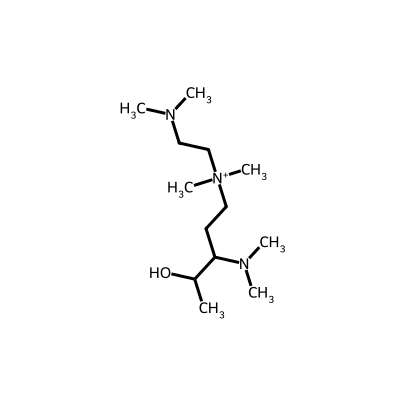 CC(O)C(CC[N+](C)(C)CCN(C)C)N(C)C